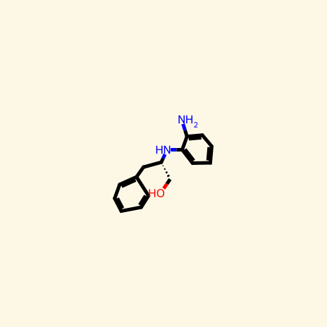 Nc1ccccc1N[C@H](CO)Cc1ccccc1